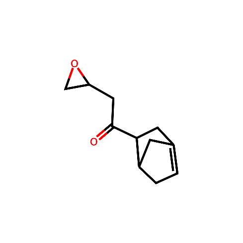 O=C(CC1CO1)C1CC2=CCC1C2